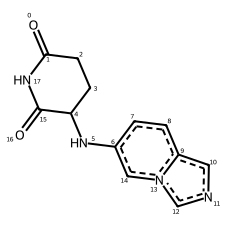 O=C1CCC(Nc2ccc3cncn3c2)C(=O)N1